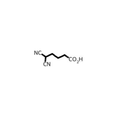 N#CC(C#N)CCCC(=O)O